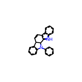 C1=CC2c3ccccc3N(c3ccccc3)C2c2[nH]c3ccccc3c21